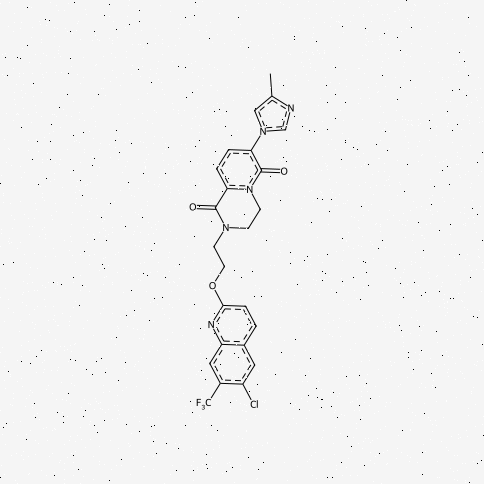 Cc1cn(-c2ccc3n(c2=O)CCN(CCOc2ccc4cc(Cl)c(C(F)(F)F)cc4n2)C3=O)cn1